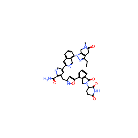 CCc1nn(-c2cccc3cc(-c4cnc(C(N)=O)c(Cc5cc(-c6cccc7c6CN(C6CCC(=O)NC6=O)C7=O)on5)c4)ncc23)c2c1CC(=O)N(C)C2